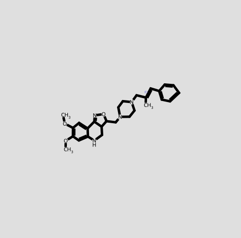 COc1cc2c(cc1OC)C1=NOC(CN3CCN(C/C(C)=C/c4ccccc4)CC3)C1CN2